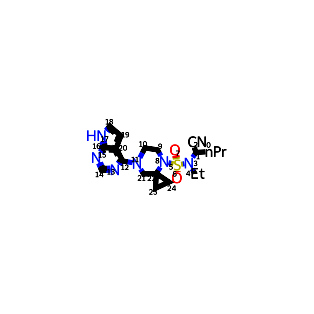 CCCC(C#N)N(CC)S(=O)(=O)N1CCN(c2ncnc3[nH]ccc23)CC12CC2